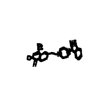 CCc1cc(=O)[nH]c2ccc(CCN3CCN(c4nsc5ccccc45)CC3)cc12